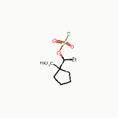 CCC(OS(=O)(=O)Cl)C1(C(=O)O)CCCC1